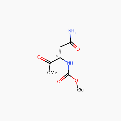 COC(=O)[C@H](CC(N)=O)NC(=O)OC(C)(C)C